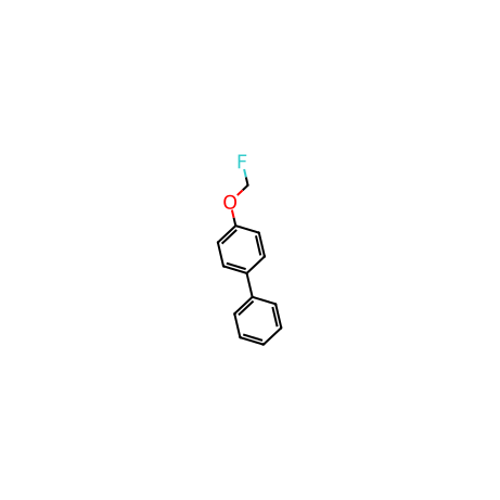 FCOc1ccc(-c2ccccc2)cc1